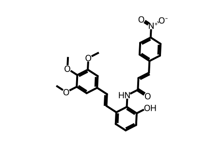 COc1cc(/C=C/c2cccc(O)c2NC(=O)/C=C/c2ccc([N+](=O)[O-])cc2)cc(OC)c1OC